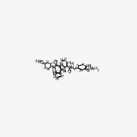 Nc1nc2ccc(CNC(=O)c3cccn4c(C(=O)N[C@H]5CC[C@H](O)CC5)c(-c5ccsc5)nc34)cc2s1